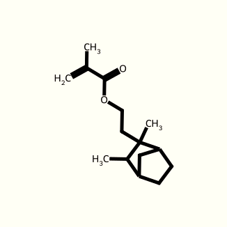 C=C(C)C(=O)OCCC1(C)C2CCC(C2)C1C